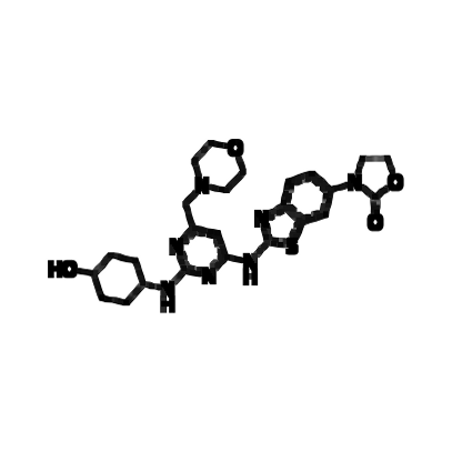 O=C1OCCN1c1ccc2nc(Nc3cc(CN4CCOCC4)nc(NC4CCC(O)CC4)n3)sc2c1